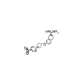 N=C(N)N1CCc2ccc(OCC3CCN(c4ccc([N+](=O)[O-])cn4)CC3)cc2C1